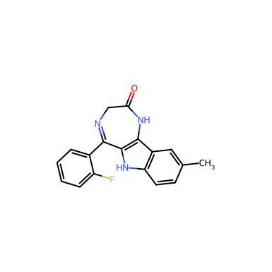 Cc1ccc2[nH]c3c(c2c1)NC(=O)CN=C3c1ccccc1F